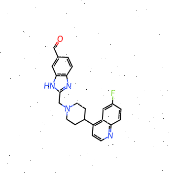 O=Cc1ccc2nc(CN3CCC(c4ccnc5ccc(F)cc45)CC3)[nH]c2c1